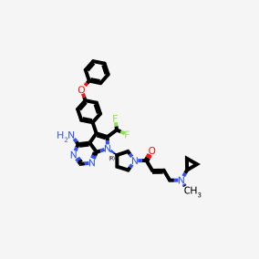 CN(CC=CC(=O)N1CC[C@@H](n2c(C(F)F)c(-c3ccc(Oc4ccccc4)cc3)c3c(N)ncnc32)C1)C1CC1